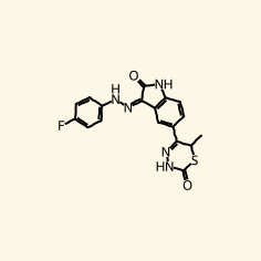 CC1SC(=O)NN=C1c1ccc2c(c1)C(=NNc1ccc(F)cc1)C(=O)N2